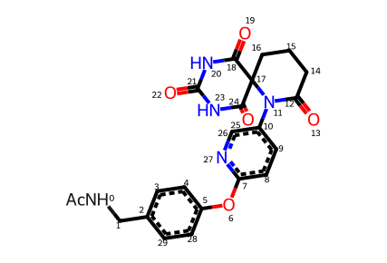 CC(=O)NCc1ccc(Oc2ccc(N3C(=O)CCCC34C(=O)NC(=O)NC4=O)cn2)cc1